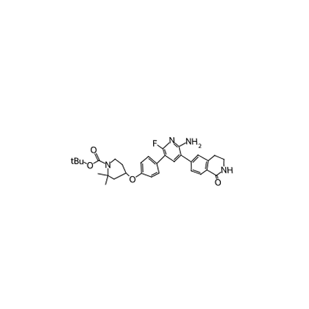 CC(C)(C)OC(=O)N1CCC(Oc2ccc(-c3cc(-c4ccc5c(c4)CCNC5=O)c(N)nc3F)cc2)CC1(C)C